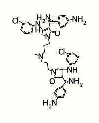 CN(CCCN1CC(Nc2cccc(Cl)c2)=C([C@H](N)c2ccc(N)cc2)C1=O)CCCN1CC(Nc2cccc(Cl)c2)=C([C@H](N)c2ccc(N)cc2)C1=O